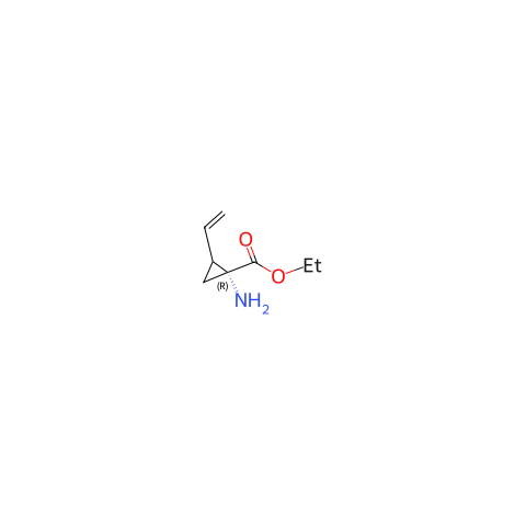 C=CC1C[C@]1(N)C(=O)OCC